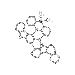 C[Si]1(C)c2ccccc2N2c3c(cccc31)B1c3c(cc4sc5ccccc5c4c32)-c2cccc3c4c5ccccc5ccc4n1c23